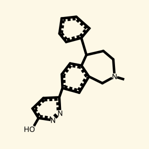 CN1CCC(c2ccccc2)c2ccc(-c3ccc(O)nn3)cc2C1